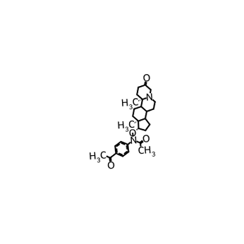 CC(=O)c1ccc(N(O[C@H]2CCC3C4CCN5CC(=O)CC[C@]5(C)C4CC[C@@]32C)C(C)=O)cc1